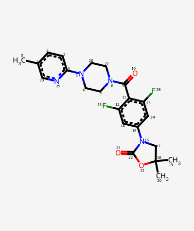 Cc1ccc(N2CCN(C(=O)c3c(F)cc(N4CC(C)(C)OC4=O)cc3F)CC2)nc1